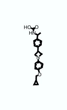 CC(NC(=O)O)c1ccc(C2CN(c3ccc(OCC4CC4)cc3)C2)cc1